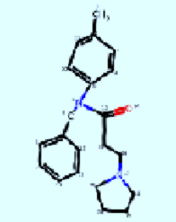 Cc1ccc(N(Cc2ccccc2)C(=O)CCN2CCCC2)cc1